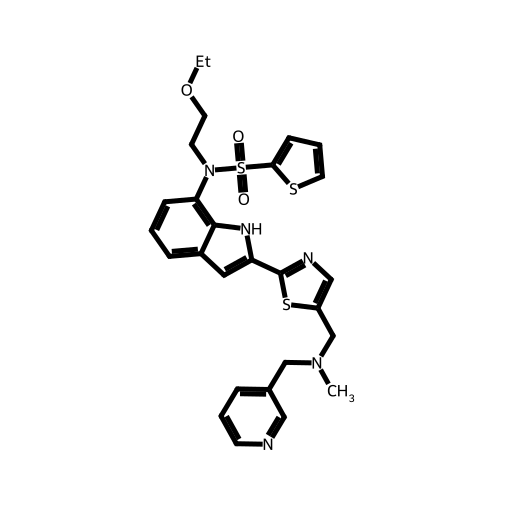 CCOCCN(c1cccc2cc(-c3ncc(CN(C)Cc4cccnc4)s3)[nH]c12)S(=O)(=O)c1cccs1